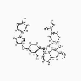 C=CC(=O)N1CC[C@H](Oc2cc3c(Nc4ccc(Oc5ccn(-c6ccc(C)nc6)n5)cc4F)ncnc3cc2OC)[C@H](F)C1